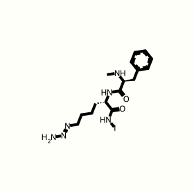 CN[C@@H](Cc1ccccc1)C(=O)N[C@@H](CCCCN=NN)C(=O)NI